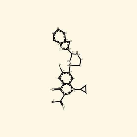 O=C(O)c1cn(C2CC2)c2cc(N3CCNC(c4cc5ccccc5o4)C3)c(F)cc2c1=O